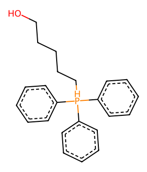 OCCCCC[PH](c1ccccc1)(c1ccccc1)c1ccccc1